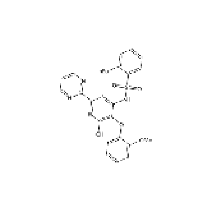 CCCCc1ccccc1S(=O)(=O)Nc1nc(-c2ncccn2)nc(O)c1Oc1ccccc1OC